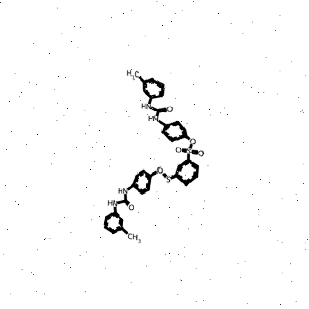 Cc1cccc(NC(=O)Nc2ccc(OSc3cccc(S(=O)(=O)Oc4ccc(NC(=O)Nc5cccc(C)c5)cc4)c3)cc2)c1